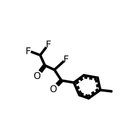 Cc1ccc(C(=O)C(F)C(=O)C(F)F)cc1